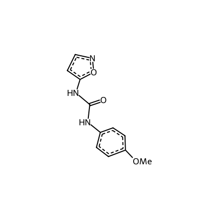 COc1ccc(NC(=O)Nc2ccno2)cc1